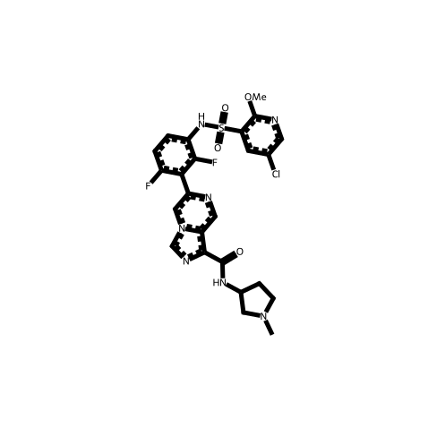 COc1ncc(Cl)cc1S(=O)(=O)Nc1ccc(F)c(-c2cn3cnc(C(=O)NC4CCN(C)C4)c3cn2)c1F